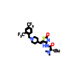 CN(C)[C@H](C(=O)NC1=NC(=O)S/C1=C\C1CCN(Cc2ccc(C(F)(F)F)cc2C(F)(F)F)CC1)C(C)(C)C